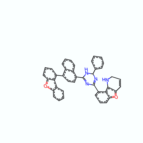 C1=Cc2oc3cccc(C4=NC(c5ccccc5)NC(c5ccc(-c6cccc7oc8ccccc8c67)c6ccccc56)=N4)c3c2NC1